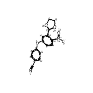 N#Cc1ccc(Oc2ccc([N+](=O)[O-])c(C3OCCO3)c2)cc1